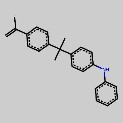 C=C(C)c1ccc(C(C)(C)c2ccc(Nc3ccccc3)cc2)cc1